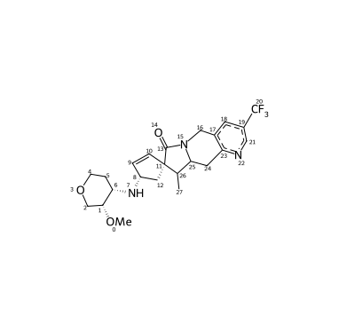 CO[C@@H]1COCC[C@@H]1N[C@@H]1C=C[C@@]2(C1)C(=O)N1Cc3cc(C(F)(F)F)cnc3CC1C2C